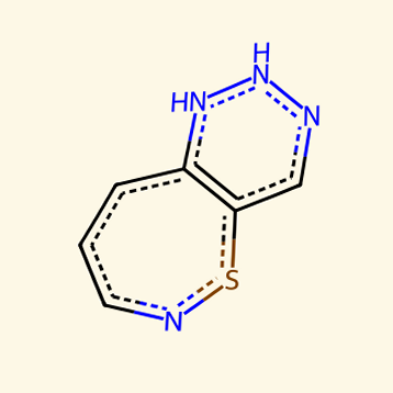 c1cnsc2cn[nH][nH]c=2c1